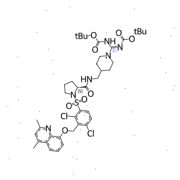 Cc1cc(C)c2cccc(OCc3c(Cl)ccc(S(=O)(=O)N4CCC[C@H]4C(=O)NCC4CCN(/C(=N/C(=O)OC(C)(C)C)NC(=O)OC(C)(C)C)CC4)c3Cl)c2n1